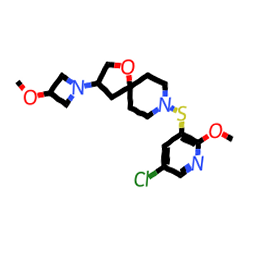 COc1ncc(Cl)cc1SN1CCC2(CC1)CC(N1CC(OC)C1)CO2